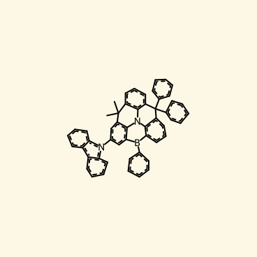 CC1(C)c2cc(-n3c4ccccc4c4ccccc43)cc3c2N2c4c(cccc4C(c4ccccc4)(c4ccccc4)c4cccc1c42)B3c1ccccc1